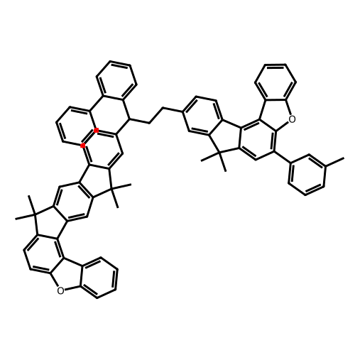 Cc1cccc(-c2cc3c(c4c2oc2ccccc24)-c2ccc(CCC(c4ccc5c(c4)C(C)(C)c4cc6c(cc4-5)C(C)(C)c4ccc5oc7ccccc7c5c4-6)c4ccccc4-c4ccccc4)cc2C3(C)C)c1